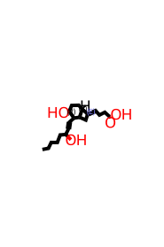 CCCCCC(O)C#CC1C2C/C(=C\CCC(=O)O)[C@H]2CC[C@H]1O